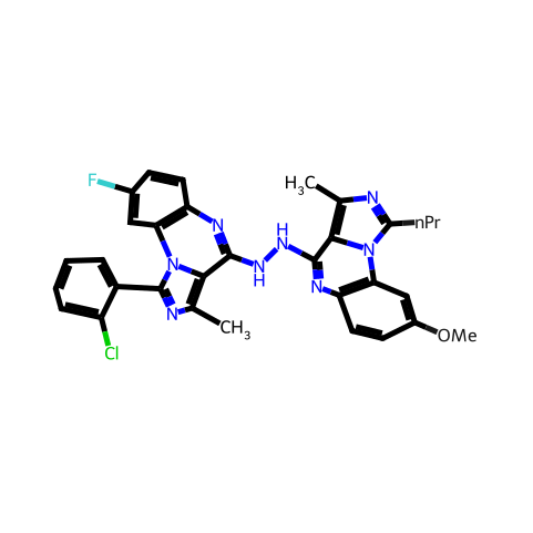 CCCc1nc(C)c2c(NNc3nc4ccc(F)cc4n4c(-c5ccccc5Cl)nc(C)c34)nc3ccc(OC)cc3n12